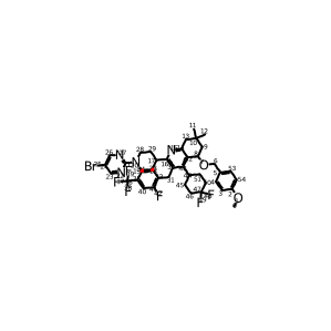 COc1ccc(COC2CC(C)(C)Cc3nc(C4CCN(c5ncc(Br)cn5)CC4)c(Cc4ccc(C(F)(F)F)cc4F)c(C4CCC(F)(F)CC4)c32)cc1